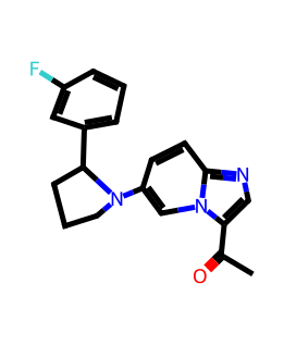 CC(=O)c1cnc2ccc(N3CCCC3c3cccc(F)c3)cn12